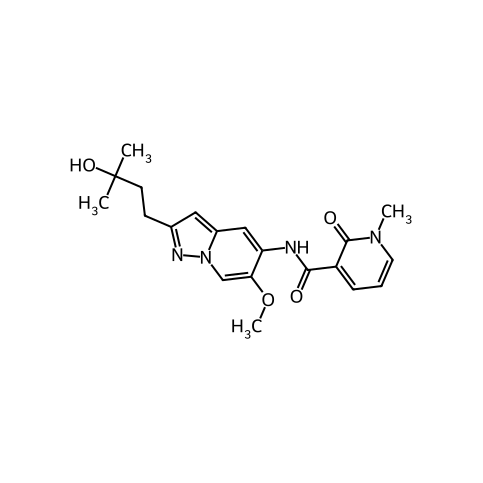 COc1cn2nc(CCC(C)(C)O)cc2cc1NC(=O)c1cccn(C)c1=O